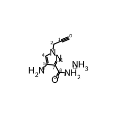 C#CCn1cc(N)c(C(N)=O)n1.N